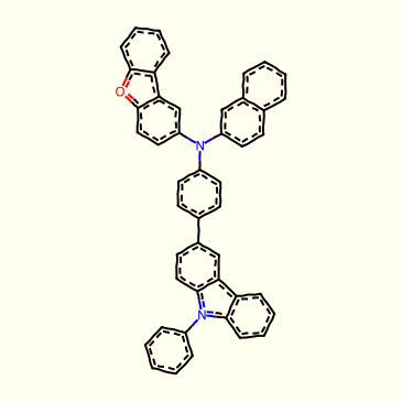 c1ccc(-n2c3ccccc3c3cc(-c4ccc(N(c5ccc6ccccc6c5)c5ccc6oc7ccccc7c6c5)cc4)ccc32)cc1